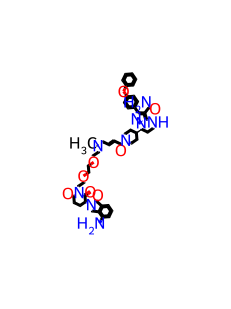 CN(C/C=C/C(=O)N1CCC([C@@H]2CCNc3c(C(N)=O)c(-c4ccc(Oc5ccccc5)cc4)nn32)CC1)CCOCCOCCN1C(=O)CCC(N2Cc3c(N)cccc3C2=O)C1=O